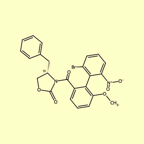 COc1cccc(C(=O)N2C(=O)OC[C@@H]2Cc2ccccc2)c1-c1c(Br)cccc1[N+](=O)[O-]